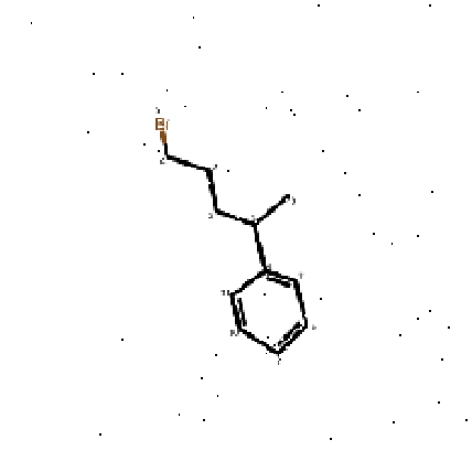 CC(CCCBr)c1ccccc1